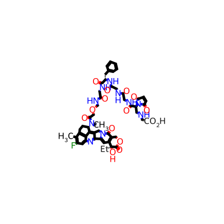 CC[C@@]1(O)C(=O)OCc2c1cc1n(c2=O)Cc2c-1nc1cc(F)c(C)c3c1c2[C@@H](N(C)C(=O)COCNC(=O)CNC(=O)[C@H](Cc1ccccc1)NC(=O)CNC(=O)CNC(=O)C(CNCC(=O)O)N1C(=O)C=CC1=O)CC3